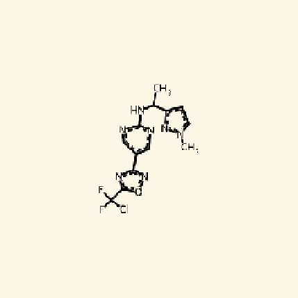 CC(Nc1ncc(-c2noc(C(F)(F)Cl)n2)cn1)c1ccn(C)n1